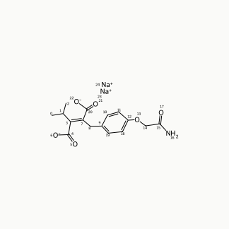 CC(C)C(C(=O)[O-])=C(Cc1ccc(OCC(N)=O)cc1)C(=O)[O-].[Na+].[Na+]